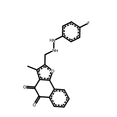 Cc1c(CNNc2ccc(F)cc2)oc2c1C(=O)C(=O)c1ccccc1-2